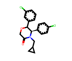 O=C1COC(c2cccc(Cl)c2)[C@@H](c2ccc(Cl)cc2)N1CC1CC1